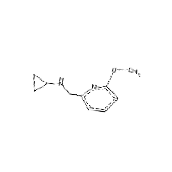 COc1cccc(CNC2CC2)n1